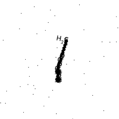 C=CCCCCCCCCCOCCOCCOCCOc1ccc(OCc2ccccc2)cc1